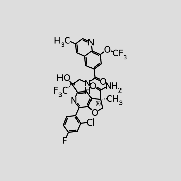 Cc1cnc2c(OC(F)(F)F)cc(C(=O)NC[C@](O)(c3cc4c(c(-c5ccc(F)cc5Cl)n3)OC[C@]4(C)C(N)=O)C(F)(F)F)cc2c1